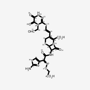 Nc1nc(C(=NOCC(=O)O)C(=O)NC2C(=O)N3C(C(=O)O)=C(C=CSc4n[nH]c(=O)c(=O)n4CC=O)CSC23)cs1